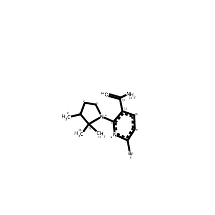 CC1CCN(c2nc(Br)ccc2C(N)=O)C1(C)C